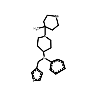 CC1(N2CCC(N(Cc3ccsc3)c3ccccc3)CC2)CCNCC1